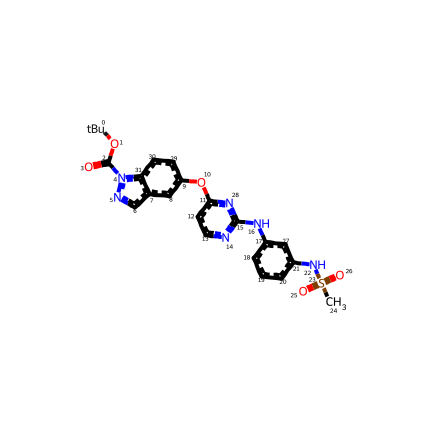 CC(C)(C)OC(=O)n1ncc2cc(Oc3ccnc(Nc4cccc(NS(C)(=O)=O)c4)n3)ccc21